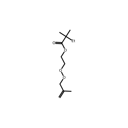 C=C(C)COOCCOC(=O)C(C)(C)CC